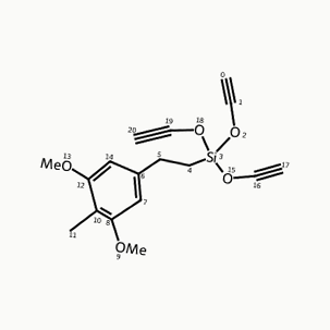 C#CO[Si](CCc1cc(OC)c(C)c(OC)c1)(OC#C)OC#C